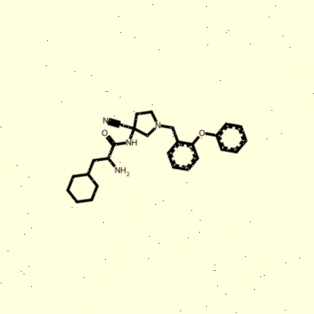 N#CC1(NC(=O)C(N)CC2CCCCC2)CCN(Cc2ccccc2Oc2ccccc2)C1